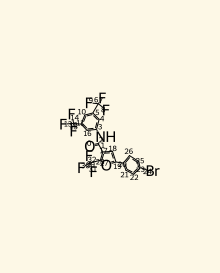 O=C(Nc1cc(C(F)(F)F)cc(C(F)(F)F)c1)c1cc(-c2ccc(Br)cc2)oc1C(F)(F)F